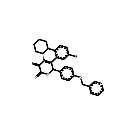 CC(C)c1ccc(C2CCCCC2)c(C2=C(O)C(=S)C(=O)OC2c2ccc(OCc3cccnc3)cc2)c1